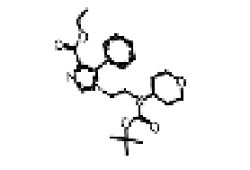 CCOC(=O)c1ncn(CCN(C(=O)OC(C)(C)C)C2CCOCC2)c1-c1ccccc1